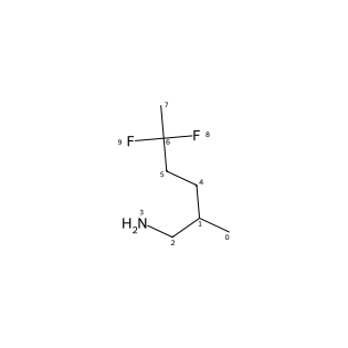 CC(CN)CCC(C)(F)F